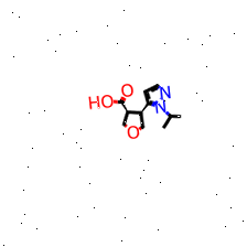 CC(C)n1nccc1[C@H]1COC[C@H]1C(=O)O